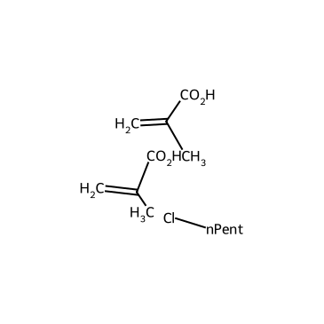 C=C(C)C(=O)O.C=C(C)C(=O)O.CCCCCCl